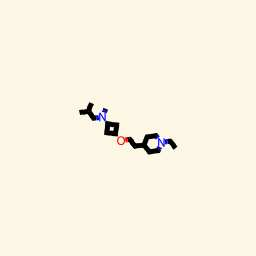 CCN1CCC(CCO[C@H]2C[C@H](N(C)CC(C)C)C2)CC1